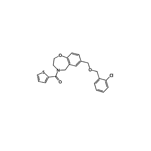 O=C(c1cccs1)N1CCOc2ccc(COCc3ccccc3Cl)cc2C1